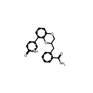 NC(=O)c1ccccc1CC1COc2cccc(-c3ccc(=O)[nH]c3)c2O1